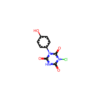 O=c1[nH]c(=O)n(-c2ccc(O)cc2)c(=O)n1Cl